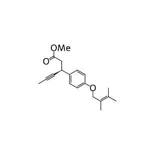 CC#C[C@@H](CC(=O)OC)c1ccc(OCC(C)=C(C)C)cc1